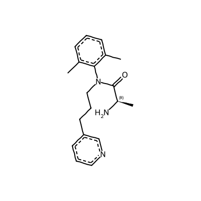 Cc1cccc(C)c1N(CCCc1cccnc1)C(=O)[C@@H](C)N